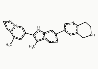 Cc1c(-c2cc(C)c3ncnn3c2)[nH]c2cc(-c3cnc4c(c3)CNCC4)ccc12